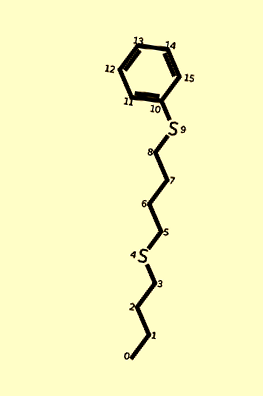 CCCCSCCCCSc1ccccc1